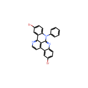 Brc1ccc2c(c1)-c1nccc3c1c(nc1ccc(Br)cc13)N2c1ccccc1